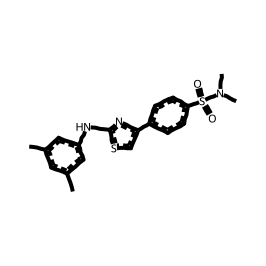 Cc1cc(C)cc(Nc2nc(-c3ccc(S(=O)(=O)N(C)C)cc3)cs2)c1